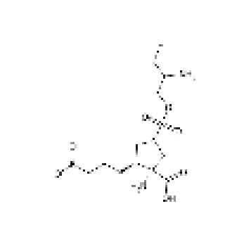 NC(CF)COS(=O)(=O)N1C[C@H](CCCB(O)O)[C@](N)(C(=O)O)C1